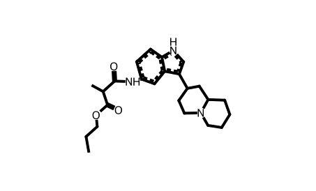 CCCOC(=O)C(C)C(=O)Nc1ccc2[nH]cc(C3CCN4CCCCC4C3)c2c1